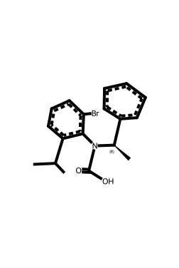 CC(C)c1cccc(Br)c1N(C(=O)O)[C@H](C)c1ccccc1